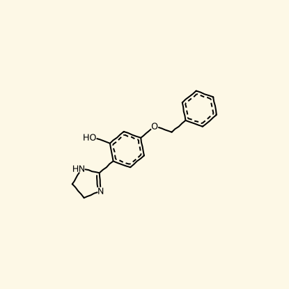 Oc1cc(OCc2ccccc2)ccc1C1=NCCN1